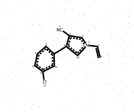 C=Cn1cc(C#N)c(-c2cccc(Cl)c2)c1